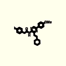 COc1ccc(-c2cnc(NC(=O)Cc3ccc(I)cc3)c(CCC3CCCCC3)n2)cc1